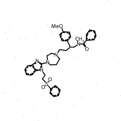 COc1ccc(C(CCN2CCCN(c3nc4ccccc4n3CCS(=O)(=O)c3ccccc3)CC2)CN(C)C(=O)c2ccccc2)cc1